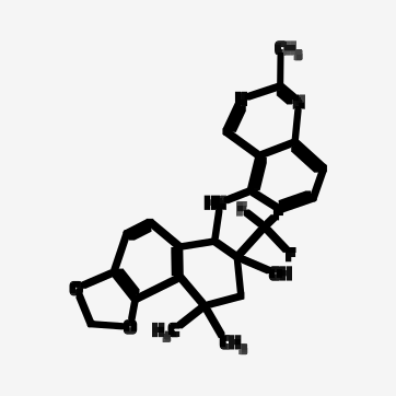 Cc1ncc2c(NC3c4ccc5c(c4C(C)(C)CC3(O)C(F)(F)F)OCO5)cccc2n1